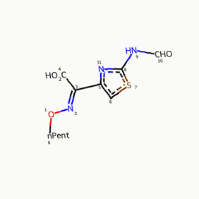 CCCCCON=C(C(=O)O)c1csc(NC=O)n1